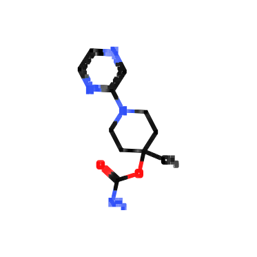 CC1(OC(N)=O)CCN(c2cnccn2)CC1